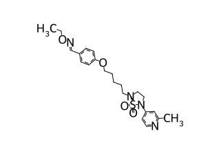 CCO/N=C/c1ccc(OCCCCCN2CCN(c3ccnc(C)c3)S2(=O)=O)cc1